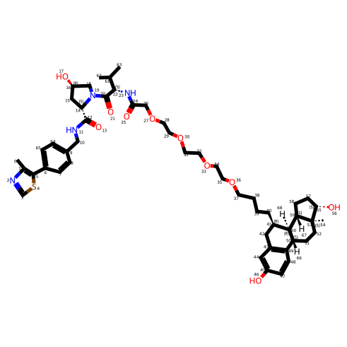 Cc1ncsc1-c1ccc(CNC(=O)[C@@H]2C[C@@H](O)CN2C(=O)[C@@H](NC(=O)COCCOCCOCCOCCCC[C@@H]2Cc3cc(O)ccc3[C@H]3CC[C@]4(C)[C@@H](O)CC[C@H]4[C@H]23)C(C)C)cc1